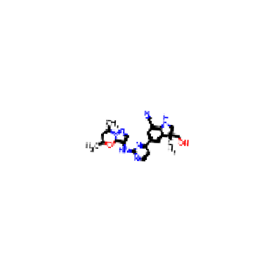 CC1CC(C)n2ncc(Nc3nccc(-c4cc(C#N)c5c(c4)C(C)(CO)CN5)n3)c2O1